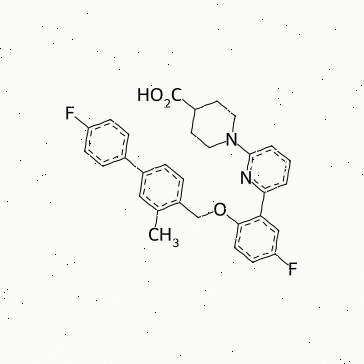 Cc1cc(-c2ccc(F)cc2)ccc1COc1ccc(F)cc1-c1cccc(N2CCC(C(=O)O)CC2)n1